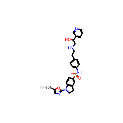 CCCCCCCc1cnc(N2CCc3cc(S(=O)(=O)Nc4ccc(CCNCC(O)c5cccnc5)cc4)ccc32)o1